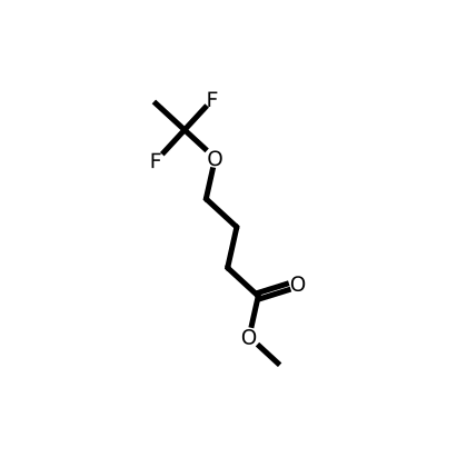 COC(=O)CCCOC(C)(F)F